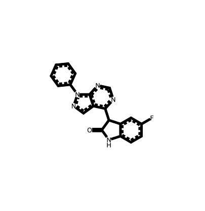 O=C1Nc2ccc(F)cc2C1c1ncnc2c1cnn2-c1ccccc1